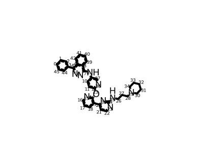 c1ccc(-c2nnc(Nc3ccc(Oc4ncccc4-c4ccnc(NCCCN5CCCCC5)n4)nc3)c3ccccc23)cc1